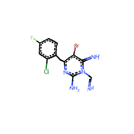 N=Cn1c(N)nc(-c2ccc(F)cc2Cl)c(Br)c1=N